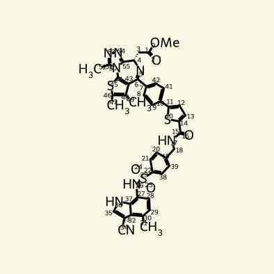 COC(=O)C[C@@H]1N=C(c2ccc(-c3ccc(C(=O)NCc4ccc(S(=O)(=O)Nc5ccc(C)c6c(C#N)c[nH]c56)cc4)s3)cc2)c2c(sc(C)c2C)-n2c(C)nnc21